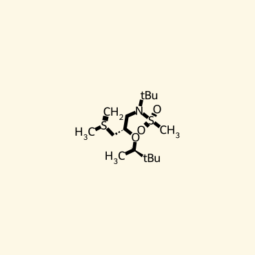 C=S(C)C[C@H](CN(C(C)(C)C)S(C)(=O)=O)O[C@H](C)C(C)(C)C